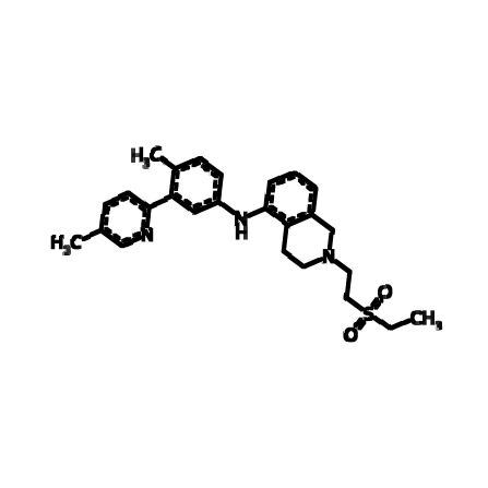 CCS(=O)(=O)CCN1CCc2c(cccc2Nc2ccc(C)c(-c3ccc(C)cn3)c2)C1